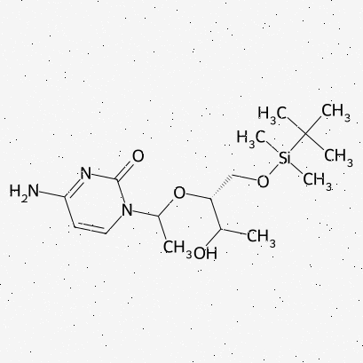 CC(O)[C@@H](CO[Si](C)(C)C(C)(C)C)OC(C)n1ccc(N)nc1=O